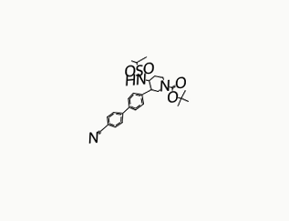 CC(C)S(=O)(=O)NC1CCN(C(=O)OC(C)(C)C)CC1c1ccc(-c2ccc(C#N)cc2)cc1